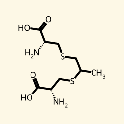 CC(CSC[C@H](N)C(=O)O)SC[C@H](N)C(=O)O